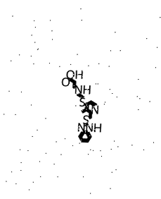 Cc1c(SCCNCCC(=O)O)ccnc1CSc1nc2ccccc2[nH]1